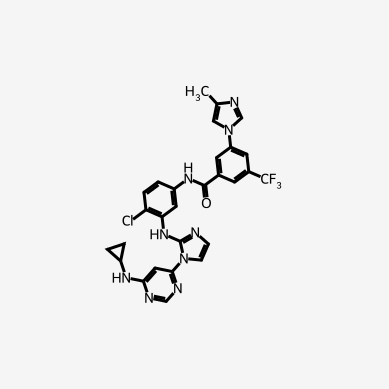 Cc1cn(-c2cc(C(=O)Nc3ccc(Cl)c(Nc4nccn4-c4cc(NC5CC5)ncn4)c3)cc(C(F)(F)F)c2)cn1